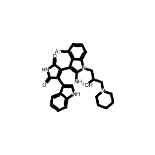 CC(=O)c1cccc2c1c(C1=C(c3c[nH]c4ccccc34)C(=O)NC1=O)c(N)n2CC(O)CN1CCCCC1